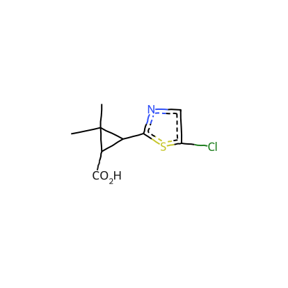 CC1(C)C(C(=O)O)C1c1ncc(Cl)s1